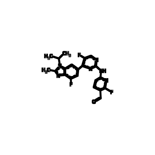 Cc1nc2c(F)cc(-c3nc(Nc4ccc(C=O)c(F)n4)ncc3F)cc2n1C(C)C